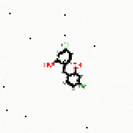 Oc1cc(Cl)ccc1Cc1ccc(Cl)cc1O